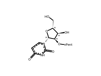 CCCCCO[C@@H]1[C@H](O)[C@@H](CO)O[C@H]1n1ccc(=O)[nH]c1=O